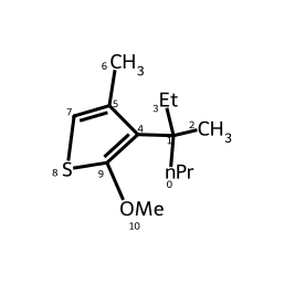 CCCC(C)(CC)c1c(C)csc1OC